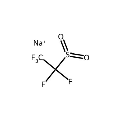 O=[S-](=O)C(F)(F)C(F)(F)F.[Na+]